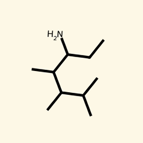 CCC(N)C(C)C(C)C(C)C